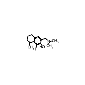 CC1CCCc2cc(CN(C)C)c(O)c(I)c21